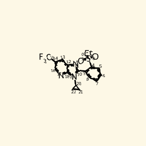 CCS(=O)(=O)c1ccccc1-c1nc2cc(C(F)(F)F)cnc2n1C1CC1